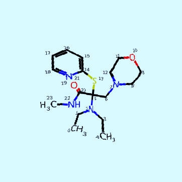 CCN(CC)C(CN1CCOCC1)(Sc1ccccn1)C(=O)NC